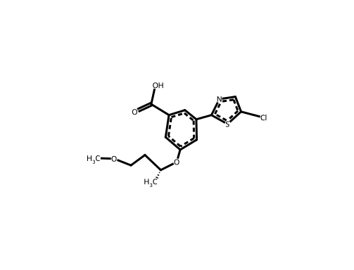 COCC[C@@H](C)Oc1cc(C(=O)O)cc(-c2ncc(Cl)s2)c1